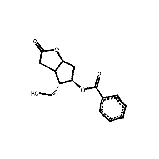 O=C1CC2C(C[C@@H](OC(=O)c3ccccc3)[C@@H]2CO)O1